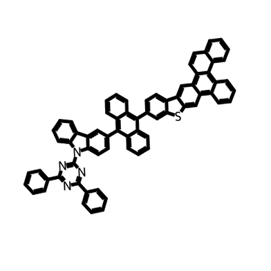 c1ccc(-c2nc(-c3ccccc3)nc(-n3c4ccccc4c4cc(-c5c6ccccc6c(-c6ccc7c(c6)sc6cc8c9ccccc9c9c%10ccccc%10ccc9c8cc67)c6ccccc56)ccc43)n2)cc1